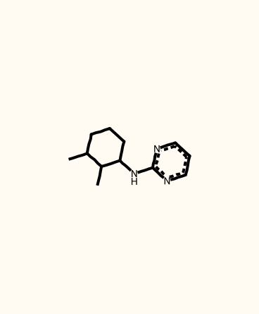 CC1CCCC(Nc2ncccn2)C1C